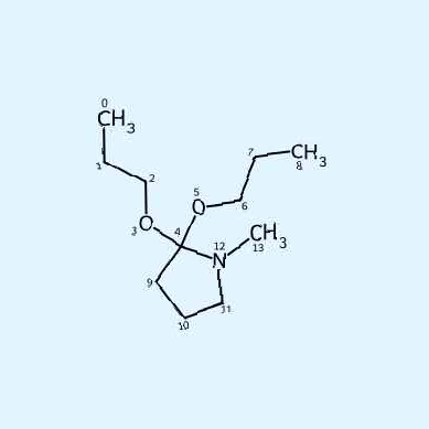 CCCOC1(OCCC)CCCN1C